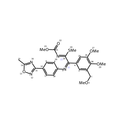 COCc1cc(C(=N/c2ccc(-c3noc(C)n3)cc2)/C(=N/C(=O)OC)SC)cc(OC)c1OC